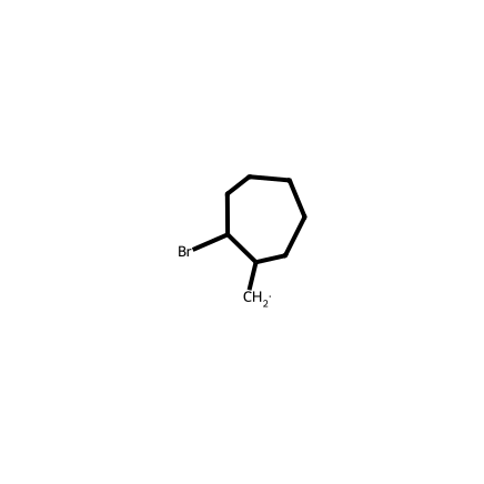 [CH2]C1CCCCCC1Br